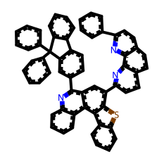 c1ccc(-c2ccc3ccc4ccc(-c5cc6c(-c7ccc8c(c7)C(c7ccccc7)(c7ccccc7)c7ccccc7-8)nc7ccccc7c6c6c5sc5ccccc56)nc4c3n2)cc1